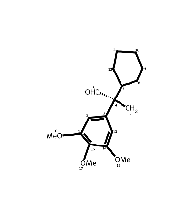 COc1cc([C@@](C)([C]=O)C2CCCCC2)cc(OC)c1OC